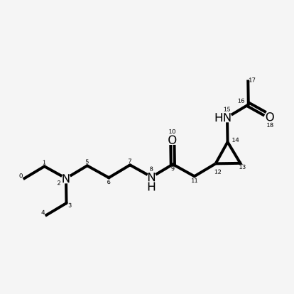 CCN(CC)CCCNC(=O)CC1CC1NC(C)=O